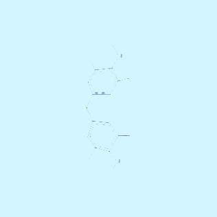 CCc1cc(Cc2cc(CC)c(NC(C)C)c(CC)c2)cc(CC)c1NC(C)C